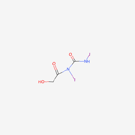 O=C(CO)N(I)C(=O)NI